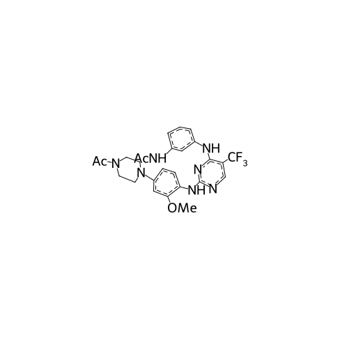 COc1cc(N2CCN(C(C)=O)CC2)ccc1Nc1ncc(C(F)(F)F)c(Nc2cccc(NC(C)=O)c2)n1